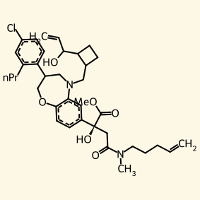 C=CCCCN(C)C(=O)C[C@@](O)(C(=O)OC)c1ccc2c(c1)N(CC1CCC1C(O)C=C)CC(c1ccc(Cl)cc1CCC)CO2